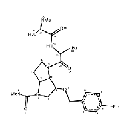 CNC(=O)N1CC(OCc2ccc(F)cc2)C2C1CCN2C(=O)C(NC(=O)C(C)NC)C(C)(C)C